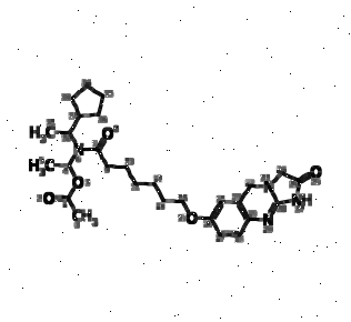 CC(=O)OC(C)N(C(=O)CCCCCCOc1ccc2c(c1)CN1CC(=O)NC1=N2)C(C)C1CCCC1